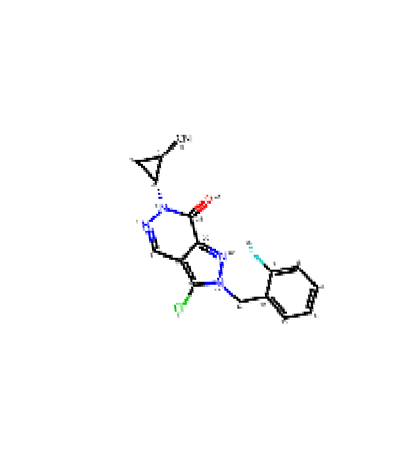 N#C[C@@H]1C[C@H]1n1ncc2c(Cl)n(Cc3ccccc3F)nc2c1=O